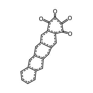 O=c1c(=O)c(=O)c2cc3cc4cc5ccccc5cc4cc3cc2c1=O